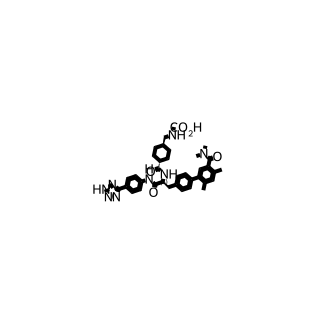 Cc1cc(C)c(-c2ccc(C[C@H](NC(=O)[C@H]3CC[C@H](CNC(=O)O)CC3)C(=O)Nc3ccc(-c4nn[nH]n4)cc3)cc2)cc1C(=O)N(C)C